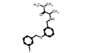 CC(NCc1cccc(OCc2cccc(F)c2)c1)C(=O)N(C)C